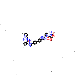 COC(=O)N[C@H](C(=O)N1CCC[C@H]1c1ncc(-c2ccc(-c3ccc(-c4cnc([C@@H]5C6CCC(C6)C5C(=O)NCc5ccccn5)[nH]4)cc3)cc2)[nH]1)[C@@H](C)OC